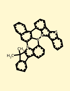 CC1(C)c2ccccc2-c2c1n1c3c(cccc23)B2c3c-1cc1ccccc1c3-c1cccc3c4sc5ccccc5c4n2c13